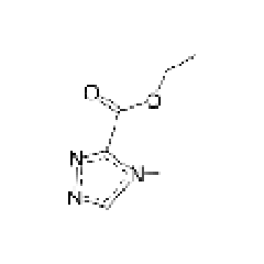 CCOC(=O)c1nncn1C